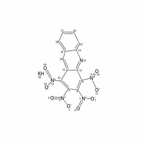 O=[N+]([O-])c1c([N+](=O)[O-])c([N+](=O)[O-])c2nc3ccccc3cc2c1[N+](=O)[O-].[KH]